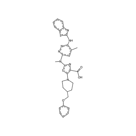 Cc1cc(N(C)c2nc(C(=O)O)c(N3CCC(COc4ccccc4)CC3)s2)nnc1Nc1nc2ccccc2s1